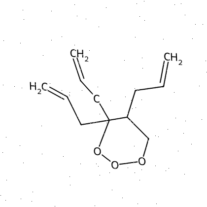 C=CCC1COOOC1(CC=C)CC=C